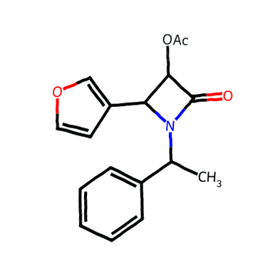 CC(=O)OC1C(=O)N(C(C)c2ccccc2)C1c1ccoc1